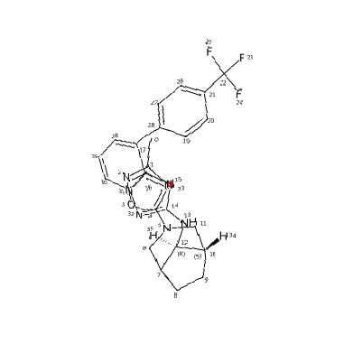 Cc1noc(N2CC3CC[C@@H](C2)[C@@H]3Nc2nc3c(-c4ccc(C(F)(F)F)cc4)cccn3n2)n1